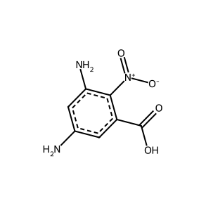 Nc1cc(N)c([N+](=O)[O-])c(C(=O)O)c1